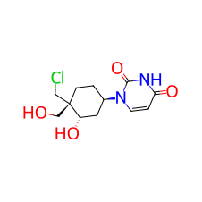 O=c1ccn([C@@H]2CC[C@@](CO)(CCl)[C@@H](O)C2)c(=O)[nH]1